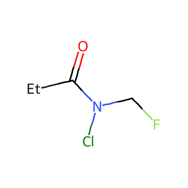 CCC(=O)N(Cl)CF